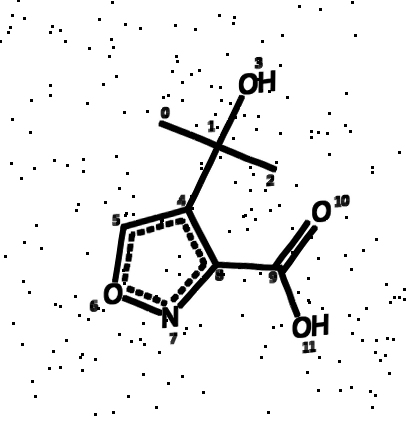 CC(C)(O)c1conc1C(=O)O